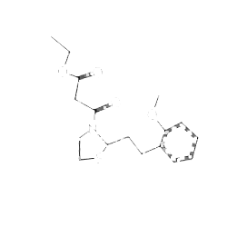 CCOC(=O)CC(=O)N1CCSC1CCc1ccccc1OC